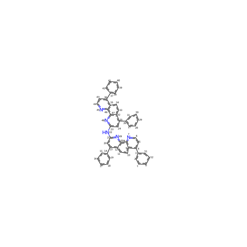 c1ccc(-c2ccnc3c2ccc2c(-c4ccccc4)cc(Nc4cc(-c5ccccc5)c5ccc6c(-c7ccccc7)ccnc6c5n4)nc23)cc1